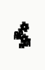 CCNc1cc(NC(=O)OCc2ccccc2)ccc1F